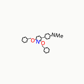 CNc1ccc(-c2ccc(OCc3ccccc3)nc2OCc2ccccc2)cc1